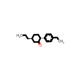 CCC[C@H]1CC[C@H](c2ccc(CC)cc2)C(=O)C1